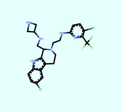 FC(F)(F)c1nc(NCCN2CCc3c([nH]c4ccc(Cl)cc34)C2CNC2CNC2)ccc1Cl